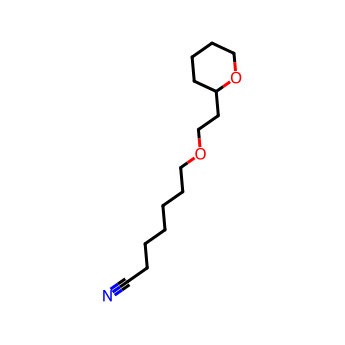 N#CCCCCCCOCCC1CCCCO1